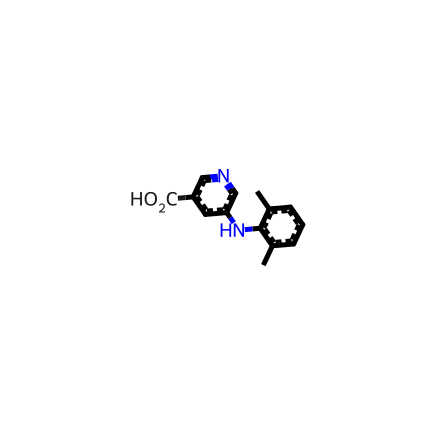 Cc1cccc(C)c1Nc1cncc(C(=O)O)c1